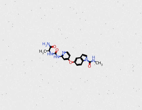 CNC(=O)n1ccc2cc(Oc3ccnc(NC(=O)N[C@@H](C)C(N)=O)c3)ccc21